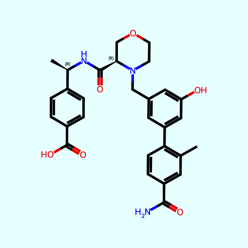 Cc1cc(C(N)=O)ccc1-c1cc(O)cc(CN2CCOC[C@@H]2C(=O)N[C@H](C)c2ccc(C(=O)O)cc2)c1